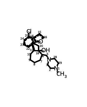 CN1CCN(CC2CCCC/C(=C/c3ccco3)C2(O)Cc2cccc(Cl)c2)CC1